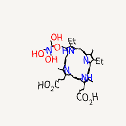 CCC1=C(C)c2cc3[nH]c(cc4nc(cc5[nH]c(cc1n2)c(C)c5CCC(=O)O)C(CCC(=O)O)=C4C)c(C)c3CC.O=C(CO)N(CO)CO